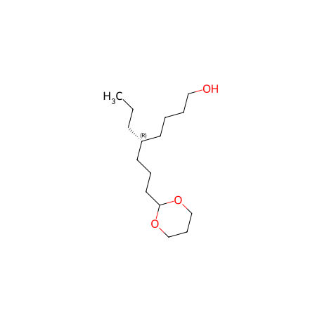 CCC[C@H](CCCCO)CCCC1OCCCO1